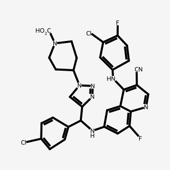 N#Cc1cnc2c(F)cc(NC(c3ccc(Cl)cc3)c3cn(C4CCN(C(=O)O)CC4)nn3)cc2c1Nc1ccc(F)c(Cl)c1